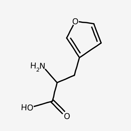 NC(Cc1ccoc1)C(=O)O